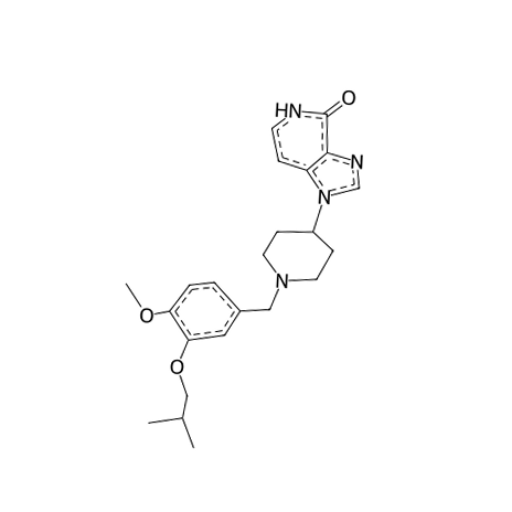 COc1ccc(CN2CCC(n3cnc4c(=O)[nH]ccc43)CC2)cc1OCC(C)C